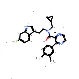 Cc1ccc(-c2nccnc2C(=O)N(CCC2=CN=C3CC(F)=CC=C23)CC2CC2)cc1C